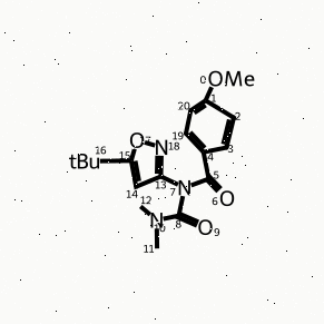 COc1ccc(C(=O)N(C(=O)N(C)C)c2cc(C(C)(C)C)on2)cc1